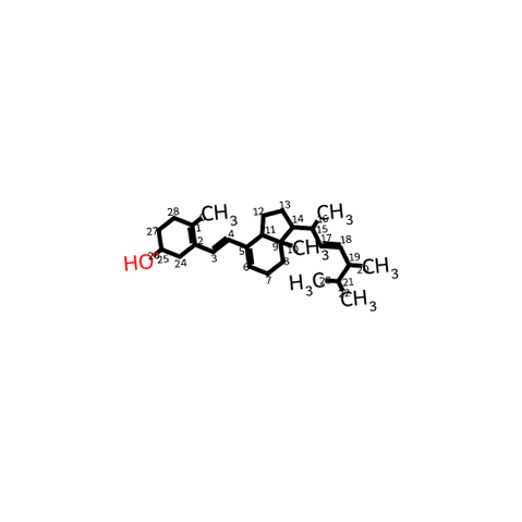 CC1=C(/C=C/C2=CCCC3(C)C2CCC3C(C)/C=C/C(C)C(C)C)CC(O)CC1